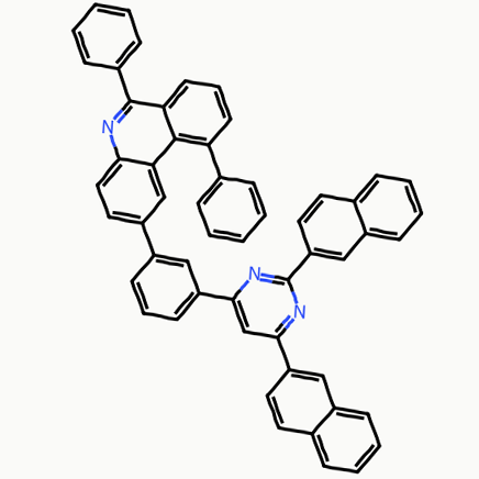 c1ccc(-c2nc3ccc(-c4cccc(-c5cc(-c6ccc7ccccc7c6)nc(-c6ccc7ccccc7c6)n5)c4)cc3c3c(-c4ccccc4)cccc23)cc1